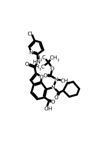 CN(C(=O)OC(C)(C)C)N(C(=O)C1CCCCC1)c1c(C(=O)O)ccc2cc(C(=O)Nc3ccc(Cl)cn3)oc12